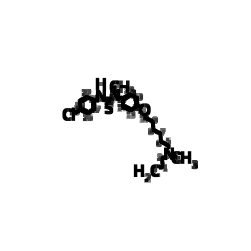 C=CCN(C)CCCCCCOc1ccc(N(C)C(=S)Nc2ccc(Cl)cc2)cc1